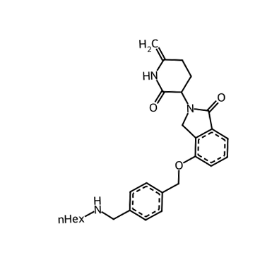 C=C1CCC(N2Cc3c(OCc4ccc(CNCCCCCC)cc4)cccc3C2=O)C(=O)N1